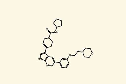 O=C(NC1CCCC1)N1CC=C(c2c[nH]c3ncc(-c4cccc(OCCN5CCOCC5)c4)cc23)CC1